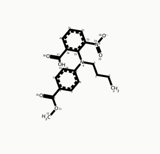 CCCCN(c1ccc(C(=O)OC)cc1)c1c(C(=O)O)cccc1[N+](=O)[O-]